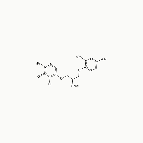 CCCc1cc(C#N)ccc1OCC(COc1cnn(C(C)C)c(=O)c1Cl)OC